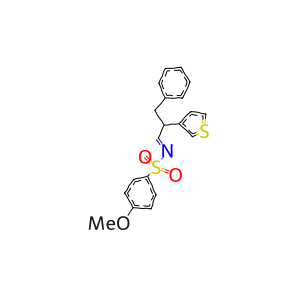 COc1ccc(S(=O)(=O)/N=C/C(Cc2ccccc2)c2ccsc2)cc1